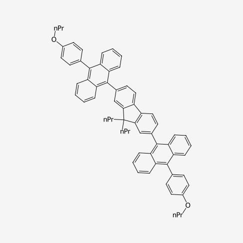 CCCOc1ccc(-c2c3ccccc3c(-c3ccc4c(c3)C(CCC)(CCC)c3cc(-c5c6ccccc6c(-c6ccc(OCCC)cc6)c6ccccc56)ccc3-4)c3ccccc23)cc1